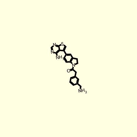 NCc1cccc(CC(=O)N2CCc3cc(-c4csc5ncnc(N)c45)ccc32)c1